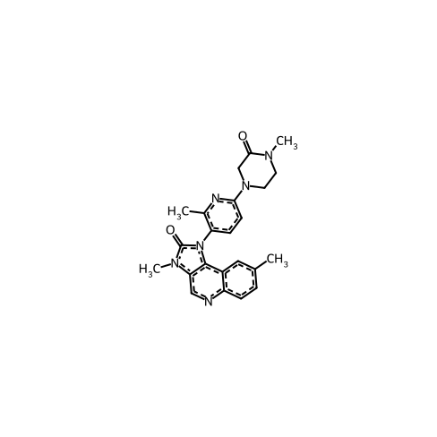 Cc1ccc2ncc3c(c2c1)n(-c1ccc(N2CCN(C)C(=O)C2)nc1C)c(=O)n3C